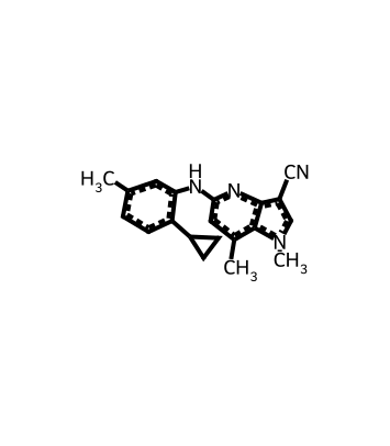 Cc1ccc(C2CC2)c(Nc2cc(C)c3c(n2)c(C#N)cn3C)c1